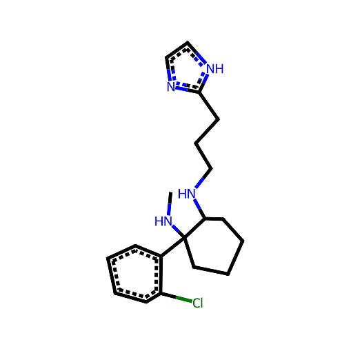 CNC1(c2ccccc2Cl)CCCCC1NCCCc1ncc[nH]1